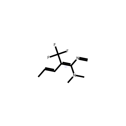 C=N/C(=C(/C=CC)C(F)(F)F)N(C)C